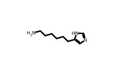 NCCCCCCc1cnc[nH]1